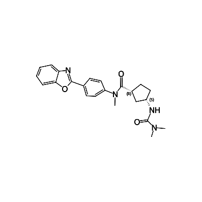 CN(C)C(=O)N[C@H]1CC[C@@H](C(=O)N(C)c2ccc(-c3nc4ccccc4o3)cc2)C1